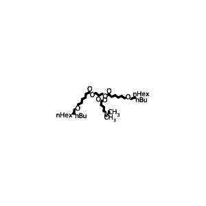 CCCCCCC(CCCC)COCCCCCC(=O)OCC(COC(=O)CCCCCOCC(CCCC)CCCCCC)OC(=O)CCCN(C)C